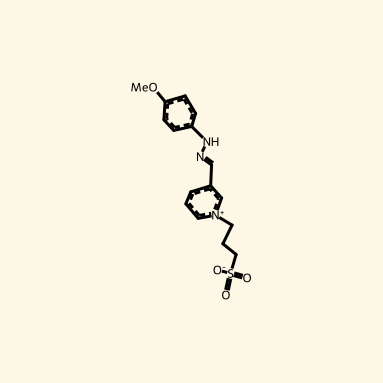 COc1ccc(NN=Cc2ccc[n+](CCCS(=O)(=O)[O-])c2)cc1